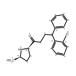 O=C(O)[C@@H]1CC[C@H](C(=O)CCC(c2ccccc2)c2ccccc2Cl)N1